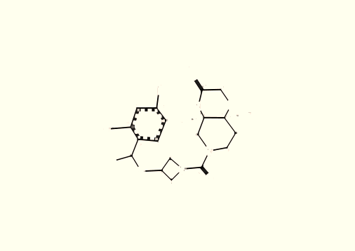 CC(OC1CN(C(=O)N2CC[C@@H]3OCC(=O)N[C@@H]3C2)C1)c1ccc(F)cc1Cl